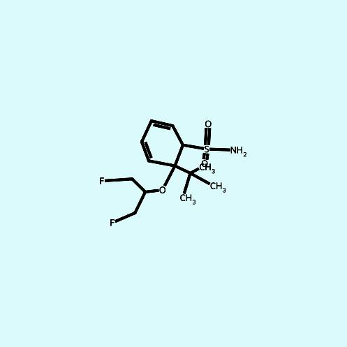 CC(C)(C)C1(OC(CF)CF)C=CC=CC1S(N)(=O)=O